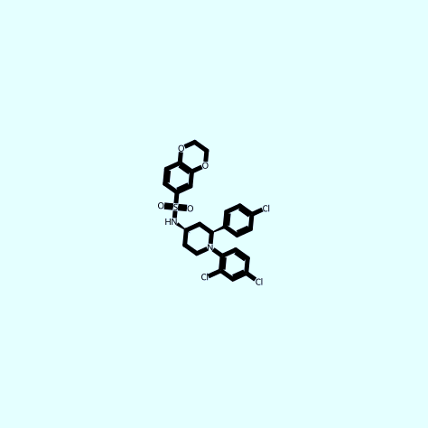 O=S(=O)(N[C@@H]1CCN(c2ccc(Cl)cc2Cl)[C@H](c2ccc(Cl)cc2)C1)c1ccc2c(c1)OCCO2